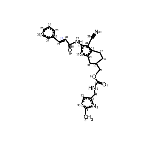 Cc1nc(CNC(=O)OCC2CCc3c(sc(NC(=O)/C=C/c4cccnc4)c3C#N)C2)cs1